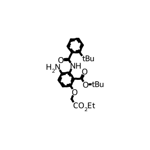 CCOC(=O)COc1ccc(N)c(NC(=O)c2ccccc2C(C)(C)C)c1C(=O)OC(C)(C)C